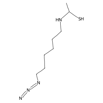 CC(S)NCCCCCCN=[N+]=[N-]